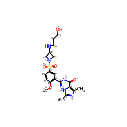 CCCc1nc(C)c2c(=O)[nH]c(-c3cc(S(=O)(=O)N4CC(NCCCO)C4)ccc3OCC)nn12